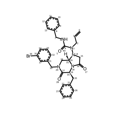 C=CCN(C(=O)NCc1ccccc1)N1CC(=O)N2[C@@H](Cc3ccccc3)C(=O)N(Cc3cccc(Br)c3)C[C@@H]21